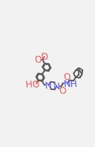 COC(=O)c1cccc(-c2ccc(O)c(CN3CCN(C(=O)CNC(=O)CC45CC6CC(C4)C(C6)C5)CC3)c2)c1